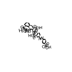 O=S(=O)(O)c1ccc(/N=N/c2ccc(/N=N/c3c(S(=O)(=O)O)cc4cccc(S(=O)(=O)O)c4c3O)c(S(=O)(=O)O)c2)cc1